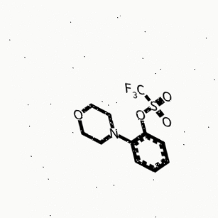 O=S(=O)(Oc1ccccc1N1CCOCC1)C(F)(F)F